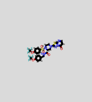 O=C(NCc1ccc(OC(F)(F)F)cc1)[C@H]1CN(c2nn3c(=O)ccnc3s2)CCN1S(=O)(=O)c1ccc(OC(F)(F)F)cc1